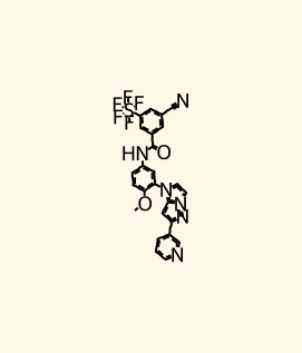 COc1ccc(NC(=O)c2cc(C#N)cc(S(F)(F)(F)(F)F)c2)cc1-n1ccn2nc(-c3cccnc3)cc12